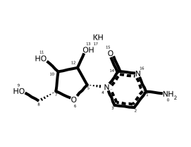 Nc1ccn([C@@H]2O[C@H](CO)C(O)C2O)c(=O)n1.[KH]